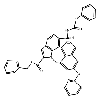 N=C(NC(=O)Oc1ccccc1)c1ccc2cc(C(=O)OCc3ccccc3)n(Cc3cc(Oc4ncccn4)cc4ccccc34)c2c1